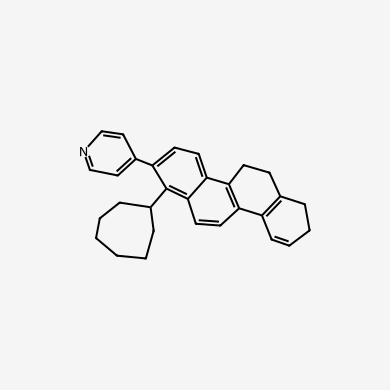 C1=CC2=C(CC1)CCc1c2ccc2c(C3CCCCCC3)c(-c3ccncc3)ccc12